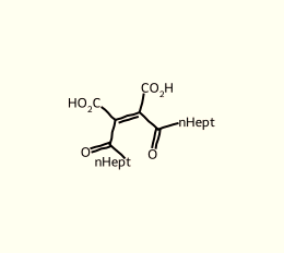 CCCCCCCC(=O)C(C(=O)O)=C(C(=O)O)C(=O)CCCCCCC